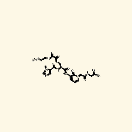 CCC(CC)CNC(=O)Cn1cccc(NC(=O)C(CCC(=O)C(=O)OCCOC)NC(=O)c2cncn2C)c1=O